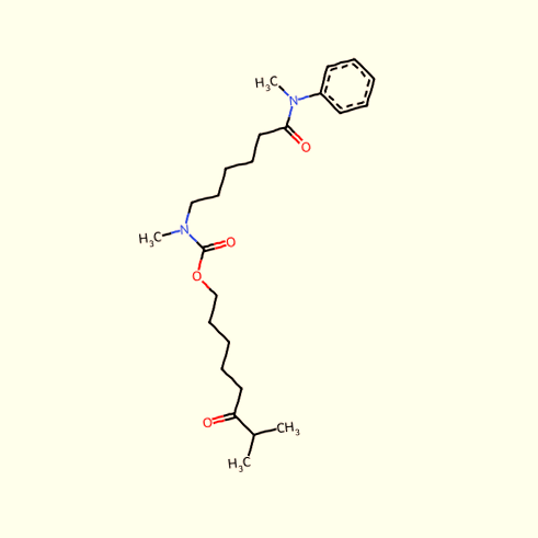 CC(C)C(=O)CCCCCOC(=O)N(C)CCCCCC(=O)N(C)c1ccccc1